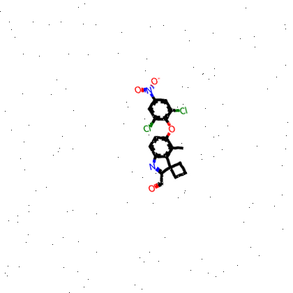 Cc1c(Oc2c(Cl)cc([N+](=O)[O-])cc2Cl)ccc2c1C1(CCC1)C(C=O)=N2